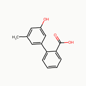 Cc1cc(O)cc(-c2ccccc2C(=O)O)c1